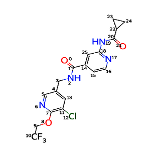 O=C(NCc1cnc(OCC(F)(F)F)c(Cl)c1)c1ccnc(NC(=O)C2CC2)c1